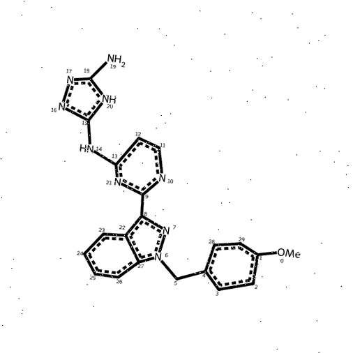 COc1ccc(Cn2nc(-c3nccc(Nc4nnc(N)[nH]4)n3)c3ccccc32)cc1